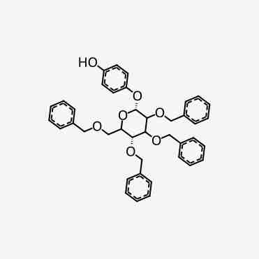 Oc1ccc(O[C@H]2OC(COCc3ccccc3)[C@@H](OCc3ccccc3)C(OCc3ccccc3)C2OCc2ccccc2)cc1